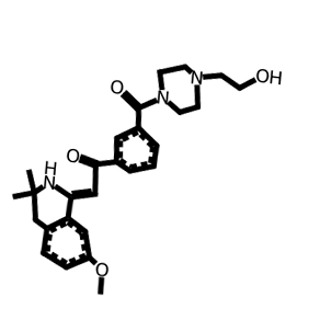 COc1ccc2c(c1)C(=CC(=O)c1cccc(C(=O)N3CCN(CCO)CC3)c1)NC(C)(C)C2